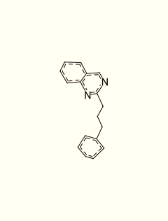 c1ccc(CCCc2ncc3ccccc3n2)cc1